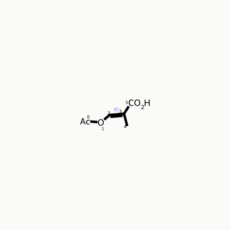 CC(=O)O/C=C(\C)C(=O)O